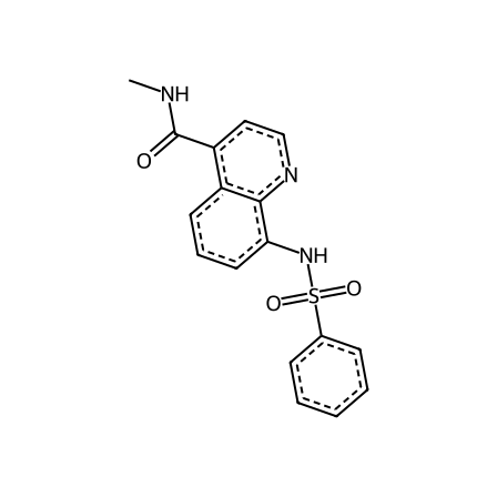 CNC(=O)c1ccnc2c(NS(=O)(=O)c3ccccc3)cccc12